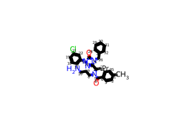 Cc1ccc(C(=O)N(CCCN)C(c2nn(-c3cccc(Cl)c3)c(=O)n2Cc2ccccc2)C(C)C)cc1